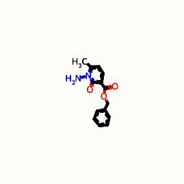 Cc1ccc(C(=O)OCc2ccccc2)c(=O)n1N